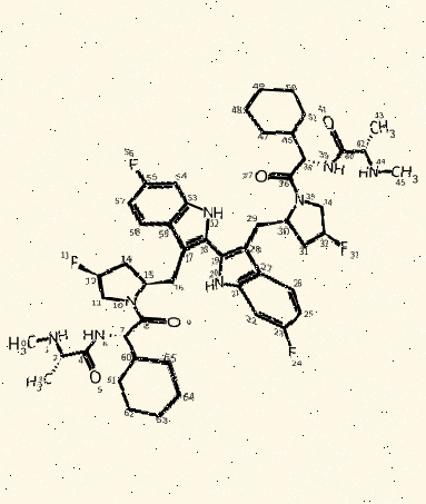 CN[C@@H](C)C(=O)N[C@H](C(=O)N1C[C@@H](F)C[C@H]1Cc1c(-c2[nH]c3cc(F)ccc3c2C[C@@H]2C[C@H](F)CN2C(=O)[C@@H](NC(=O)[C@H](C)NC)C2CCCCC2)[nH]c2cc(F)ccc12)C1CCCCC1